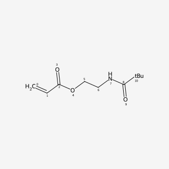 C=CC(=O)OCCNC(=O)C(C)(C)C